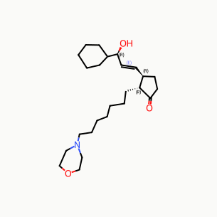 O=C1CC[C@H](/C=C/[C@H](O)C2CCCCC2)[C@H]1CCCCCCCN1CCOCC1